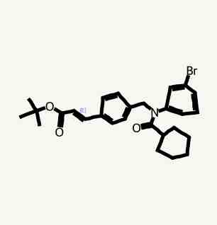 CC(C)(C)OC(=O)/C=C/c1ccc(CN(C(=O)C2CCCCC2)c2cccc(Br)c2)cc1